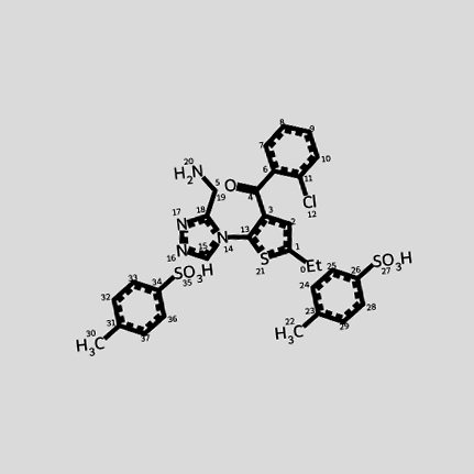 CCc1cc(C(=O)c2ccccc2Cl)c(-n2cnnc2CN)s1.Cc1ccc(S(=O)(=O)O)cc1.Cc1ccc(S(=O)(=O)O)cc1